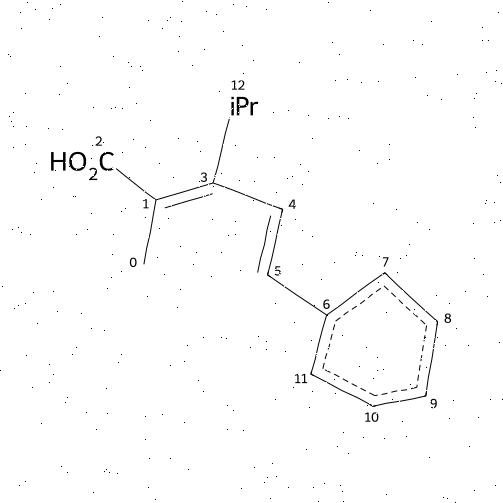 CC(C(=O)O)=C(C=Cc1ccccc1)C(C)C